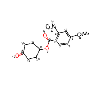 COc1ccc(C(=O)OC2CCC(=O)CC2)c([N+](=O)[O-])c1